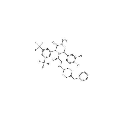 CN1CC(c2ccc(Cl)c(Cl)c2)N(C(=O)CNC2CCN(Cc3ccccc3)CC2)C(c2cc(C(F)(F)F)cc(C(F)(F)F)c2)C1=O